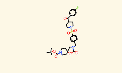 CC(C)(C)OC(=O)N1CCC2(CC1)CN(Cc1ccc(S(=O)(=O)N3CCC(C(=O)c4ccc(F)cc4)CC3)cc1)C(=O)O2